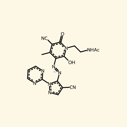 CC(=O)NCCn1c(O)c(/N=N/c2c(C#N)cnn2-c2ncccn2)c(C)c(C#N)c1=O